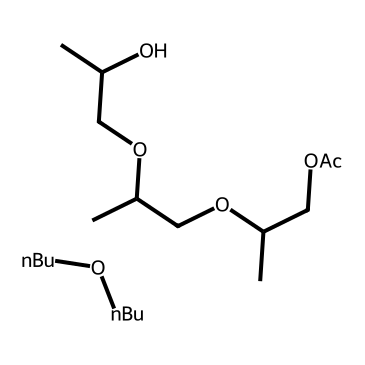 CC(=O)OCC(C)OCC(C)OCC(C)O.CCCCOCCCC